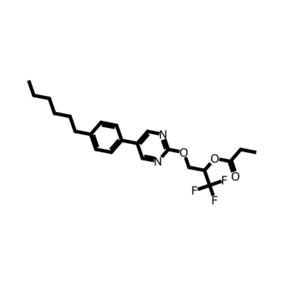 CCCCCCc1ccc(-c2cnc(OCC(OC(=O)CC)C(F)(F)F)nc2)cc1